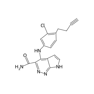 C#CCCc1ccc(Nc2c(C(N)=O)nnc3[nH]ccc23)cc1Cl